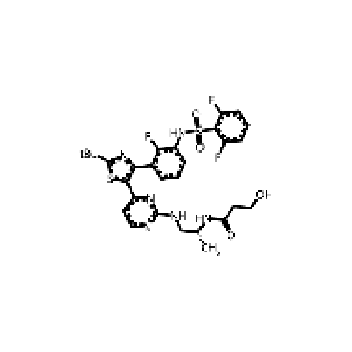 C[C@H](CNc1nccc(-c2sc(C(C)(C)C)nc2-c2cccc(NS(=O)(=O)c3c(F)cccc3F)c2F)n1)NC(=O)CCO